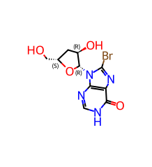 O=c1[nH]cnc2c1nc(Br)n2[C@@H]1O[C@H](CO)C[C@H]1O